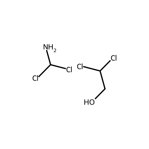 NC(Cl)Cl.OCC(Cl)Cl